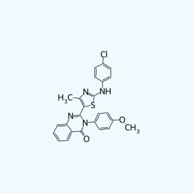 COc1ccc(-n2c(-c3sc(Nc4ccc(Cl)cc4)nc3C)nc3ccccc3c2=O)cc1